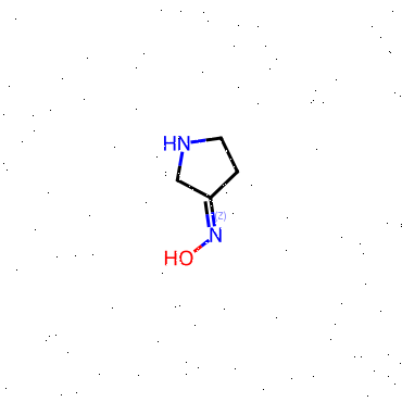 O/N=C1/CCNC1